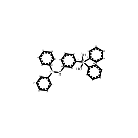 OP(O)(c1ccccc1)(c1ccccc1)c1cccc(OP(c2ccccc2)c2ccccc2)c1